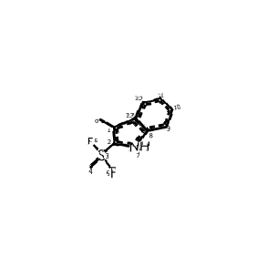 Cc1c(S(C)(F)F)[nH]c2ccccc12